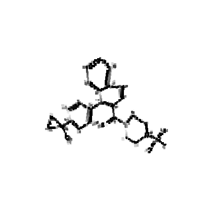 CS(=O)(=O)N1CCN(C(=O)c2ccc3ccccc3c2-c2ccc(C3(C#N)CC3)cc2)CC1